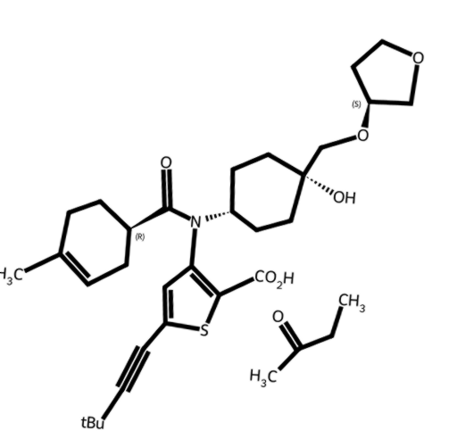 CC1=CC[C@H](C(=O)N(c2cc(C#CC(C)(C)C)sc2C(=O)O)[C@H]2CC[C@](O)(CO[C@H]3CCOC3)CC2)CC1.CCC(C)=O